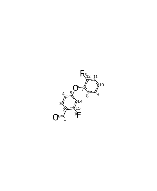 O=Cc1ccc(Oc2ccccc2F)cc1F